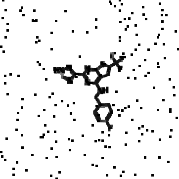 Fc1ccc(CNc2nc(-c3nc[nH]n3)nc3sc(C(F)(F)F)cc23)cc1